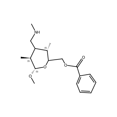 CNCC1[C@H](C)C(COC(=O)c2ccccc2)O[C@H](OC)[C@H]1C